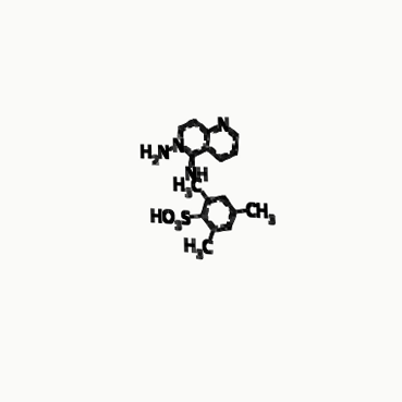 Cc1cc(C)c(S(=O)(=O)O)c(C)c1.N=c1c2cccnc2ccn1N